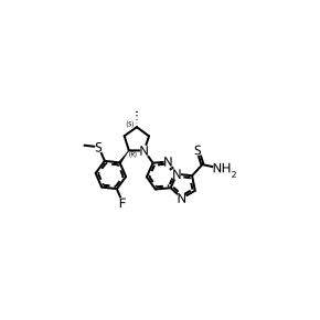 CSc1ccc(F)cc1[C@H]1C[C@H](C)CN1c1ccc2ncc(C(N)=S)n2n1